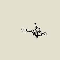 CCOC(=O)[C@]12C[C@@H](F)CN1C(=O)CC21CC1